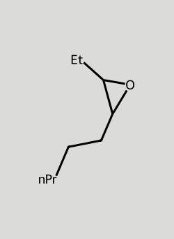 CCCCCC1OC1CC